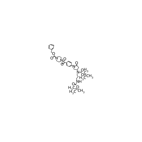 CC(C)(C)OC(=O)NCCCN(C(=O)OC(C)(C)C)C1CC(=O)N(c2ccc(S(=O)(=O)N3CCN(C(=O)OCc4ccccc4)CC3)cc2)C1